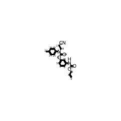 C=CCOC(=O)Nc1cccc(OC(=O)N(CCC#N)c2ccc(C)cc2)c1